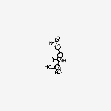 CC(C)c1c(-c2cc(CO)c3ncnn3c2)[nH]c2ccc(C3CCN(C4(C#N)COC4)CC3)cc12